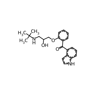 CC(C)(C)NCC(O)COc1ccccc1C(=O)c1cccc2[nH]ccc12